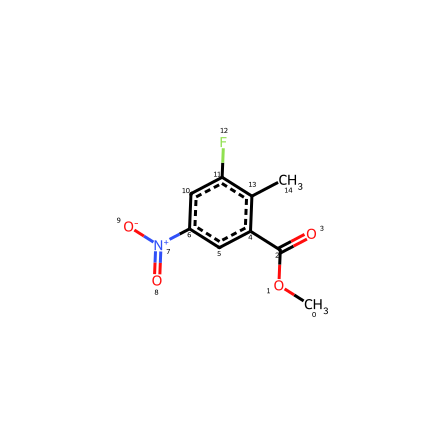 COC(=O)c1cc([N+](=O)[O-])cc(F)c1C